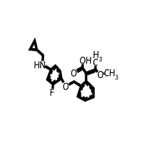 COC(C)=C(C(=O)O)c1ccccc1COc1ccc(NCC2CC2)cc1F